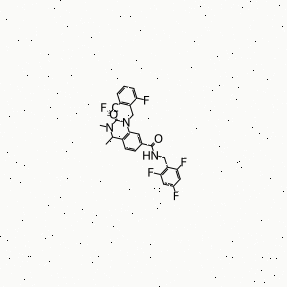 CC1c2ccc(C(=O)NCc3c(F)cc(F)cc3F)cc2N(Cc2c(F)cccc2C(F)(F)F)C(=O)N1C